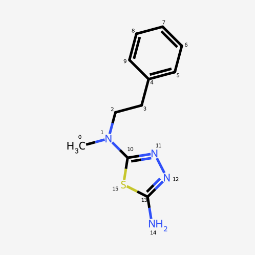 CN(CCc1ccccc1)c1nnc(N)s1